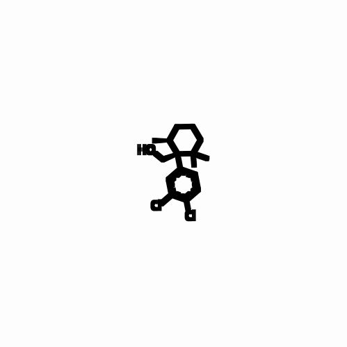 C[C@H]1CCCC(C)(C)[C@]1(CO)c1ccc(Cl)c(Cl)c1